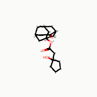 O=C(CC1(O)CCCC1)OC12CC3CC(C1)C(=O)C(C3)C2